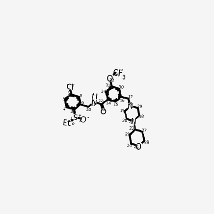 CC[S+]([O-])c1ccc(Cl)cc1CNC(=O)c1cc(CN2CCN(C3CCOCC3)CC2)cc(OC(F)(F)F)c1